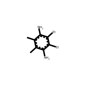 CCc1c(N)c(C)c(C)c(N)c1CC